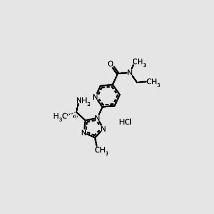 CCN(C)C(=O)c1ccc(-n2nc(C)nc2[C@H](C)N)nc1.Cl